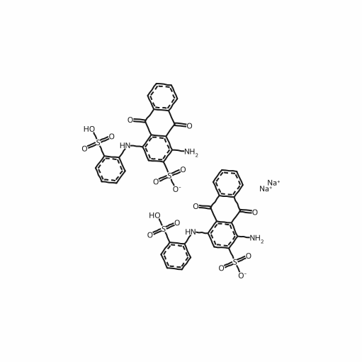 Nc1c(S(=O)(=O)[O-])cc(Nc2ccccc2S(=O)(=O)O)c2c1C(=O)c1ccccc1C2=O.Nc1c(S(=O)(=O)[O-])cc(Nc2ccccc2S(=O)(=O)O)c2c1C(=O)c1ccccc1C2=O.[Na+].[Na+]